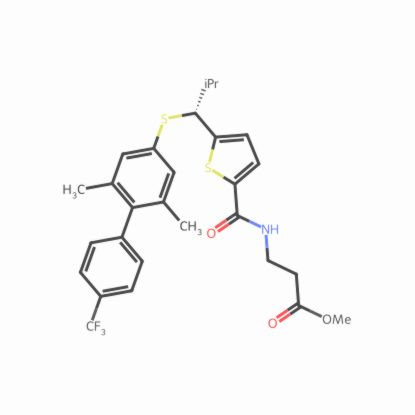 COC(=O)CCNC(=O)c1ccc([C@H](Sc2cc(C)c(-c3ccc(C(F)(F)F)cc3)c(C)c2)C(C)C)s1